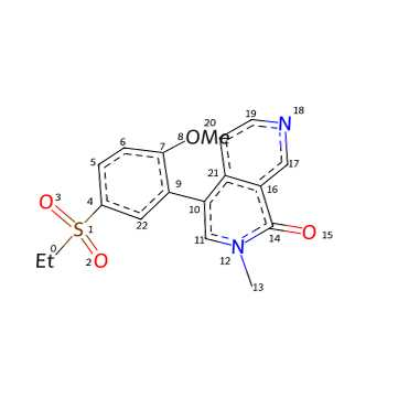 CCS(=O)(=O)c1ccc(OC)c(-c2cn(C)c(=O)c3cnccc23)c1